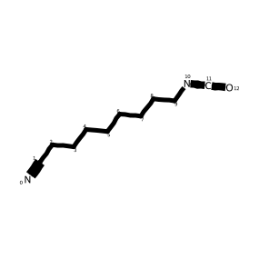 N#CCCCCCCCCN=C=O